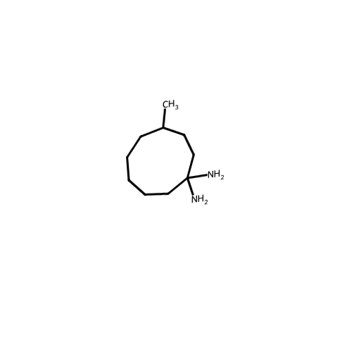 CC1CCCCCC(N)(N)CC1